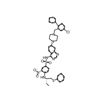 CC[C@@H](CSc1ccccc1)Nc1ccc(S(=O)(=O)Nc2ncnc3cc(N4CCN(Cc5cc(Cl)ccc5-c5ccccc5)CC4)ccc23)cc1[N+](=O)[O-]